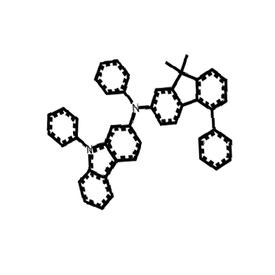 CC1(C)c2cc(N(c3ccccc3)c3ccc4c5ccccc5n(-c5ccccc5)c4c3)ccc2-c2c(-c3ccccc3)cccc21